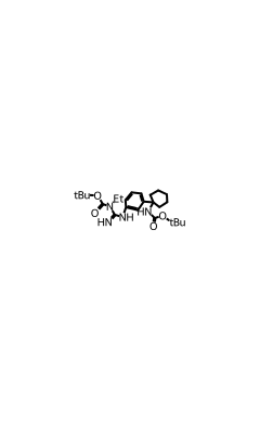 CCN(C(=N)Nc1cccc(C2(NC(=O)OC(C)(C)C)CCCCC2)c1)C(=O)OC(C)(C)C